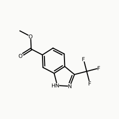 COC(=O)c1ccc2c(C(F)(F)F)n[nH]c2c1